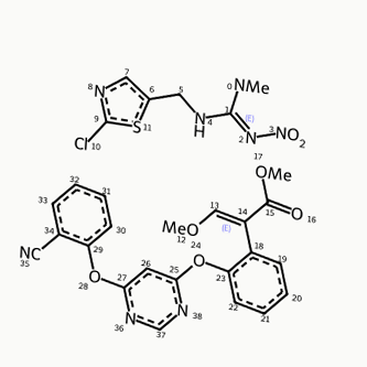 CN/C(=N\[N+](=O)[O-])NCc1cnc(Cl)s1.CO/C=C(/C(=O)OC)c1ccccc1Oc1cc(Oc2ccccc2C#N)ncn1